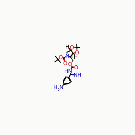 CC(C)(C)OC(=O)N1C[C@@H]2OC(C)(C)O[C@@H]2[C@H]1COC(=O)NC(=N)c1ccc(N)cc1